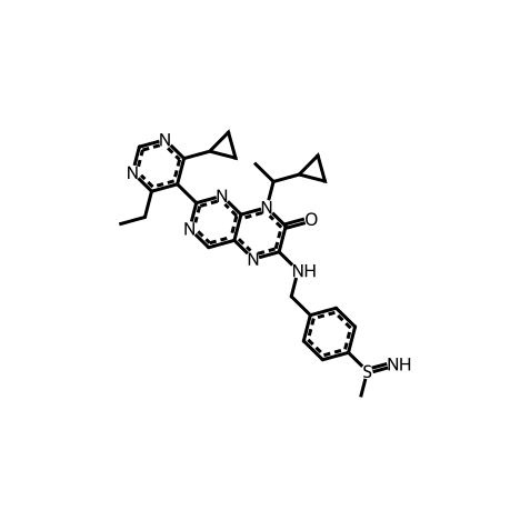 CCc1ncnc(C2CC2)c1-c1ncc2nc(NCc3ccc(S(C)=N)cc3)c(=O)n(C(C)C3CC3)c2n1